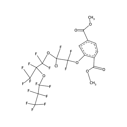 COC(=O)c1ccc(C(=O)OC)c(OC(F)(F)C(F)(Cl)OC(F)(F)C(F)(OC(F)(F)C(F)(F)C(F)(F)F)C(F)(F)F)c1